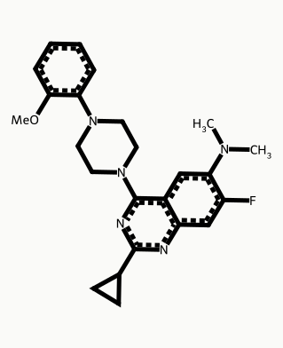 COc1ccccc1N1CCN(c2nc(C3CC3)nc3cc(F)c(N(C)C)cc23)CC1